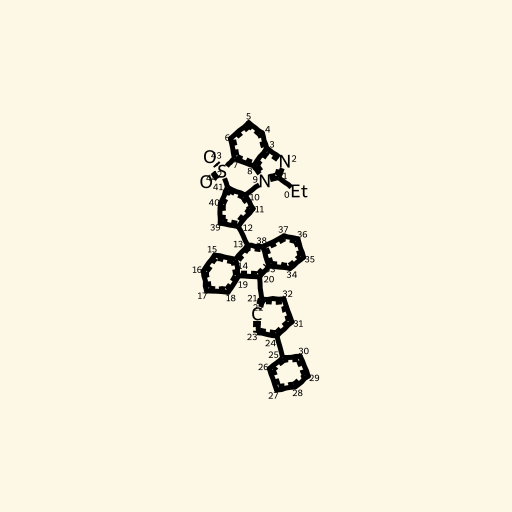 CCc1nc2cccc3c2n1-c1cc(-c2c4ccccc4c(-c4ccc(-c5ccccc5)cc4)c4ccccc24)ccc1S3(=O)=O